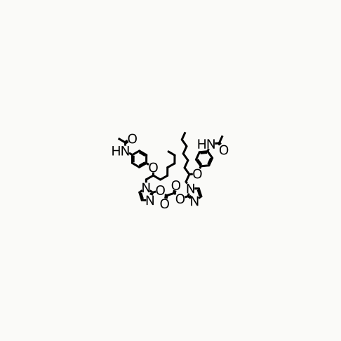 CCCCCCC(Cn1ccnc1OC(=O)C(=O)Oc1nccn1CC(CCCCCC)Oc1ccc(NC(C)=O)cc1)Oc1ccc(NC(C)=O)cc1